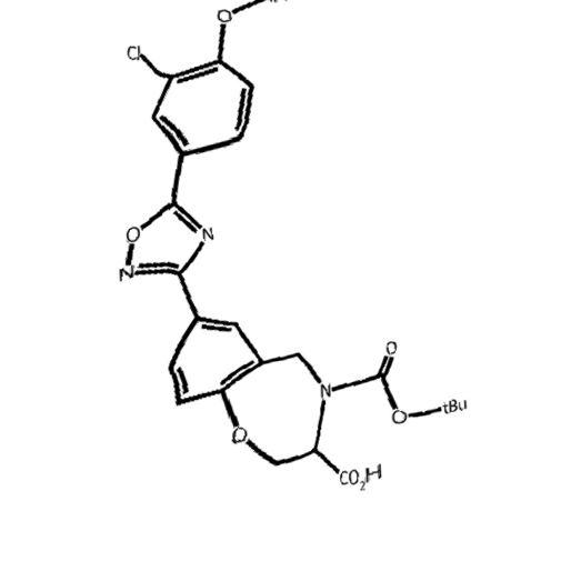 CC(C)Oc1ccc(-c2nc(-c3ccc4c(c3)CN(C(=O)OC(C)(C)C)C(C(=O)O)CO4)no2)cc1Cl